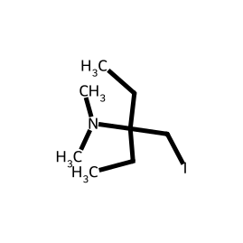 CCC(CC)(CI)N(C)C